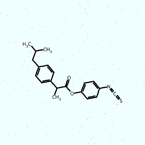 CC(C)Cc1ccc(C(C)C(=O)Oc2ccc(N=C=S)cc2)cc1